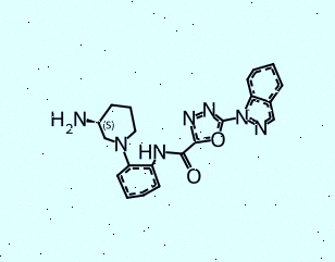 N[C@H]1CCCN(c2ccccc2NC(=O)c2nnc(-n3ncc4ccccc43)o2)C1